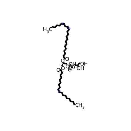 CCCCC/C=C\C/C=C\CCCCCCCCCCCC(=O)O[C@H](COC(=O)CCCCCCC/C=C\CCCCCCCCC)COP(=O)(O)OC[C@@H](O)CO